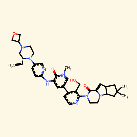 C=C[C@H]1CN(C2COC2)CCN1c1ccc(Nc2cc(-c3ccnc(N4CCN5C(=CC6CC(C)(C)CC65)C4=O)c3CO)cn(C)c2=O)nc1